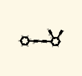 C#Cc1cccc(C#CC#Cc2ccccc2)c1C#C